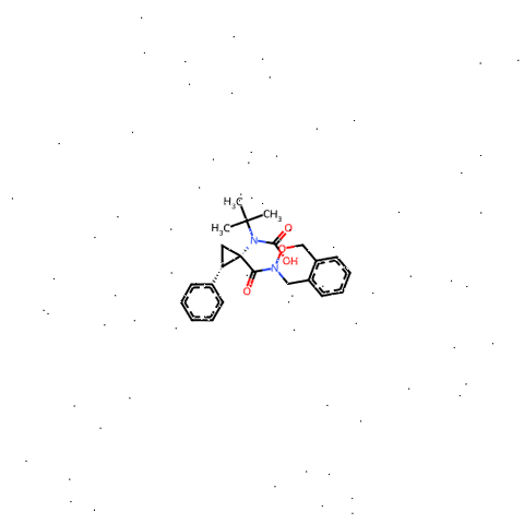 CC(C)(C)N(C(=O)O)[C@@]1(C(=O)N2Cc3ccccc3CO2)C[C@H]1c1ccccc1